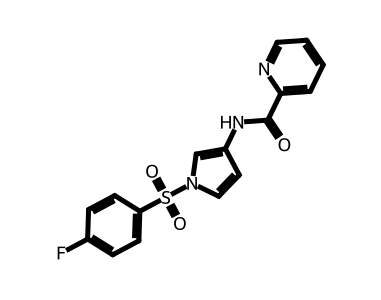 O=C(Nc1ccn(S(=O)(=O)c2ccc(F)cc2)c1)c1ccccn1